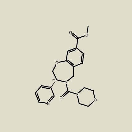 COC(=O)c1ccc2c(c1)OC[C@@H](c1cccnc1)N(C(=O)N1CCOCC1)C2